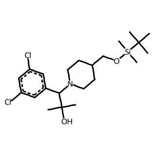 CC(C)(O)C(c1cc(Cl)cc(Cl)c1)N1CCC(CO[Si](C)(C)C(C)(C)C)CC1